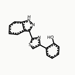 Oc1ccccc1-c1csc(-c2n[nH]c3ccccc23)n1